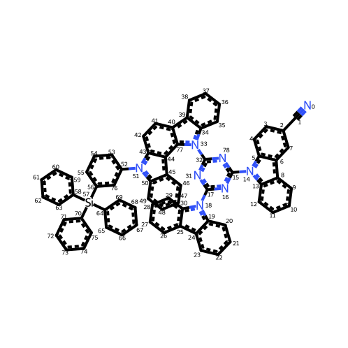 N#Cc1ccc2c(c1)c1ccccc1n2-c1nc(-n2c3ccccc3c3ccccc32)nc(-n2c3ccccc3c3ccc4c(c5ccccc5n4-c4cccc([Si](c5ccccc5)(c5ccccc5)c5ccccc5)c4)c32)n1